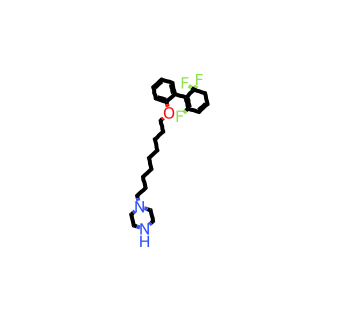 FC1=C(c2ccccc2OCCCCCCCCCN2CCNCC2)C(F)(F)CC=C1